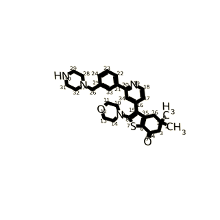 CC1(C)CC(=O)c2sc(N3CCOCC3)c(-c3ccnc(-c4cccc(CN5CCNCC5)c4)c3)c2C1